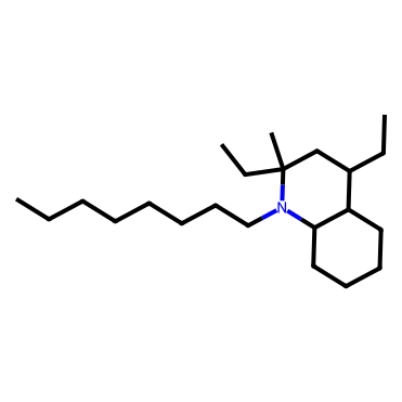 CCCCCCCCN1C2CCCCC2C(CC)CC1(C)CC